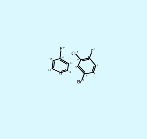 Fc1ccc(Br)cc1Cl.Fc1ccccc1